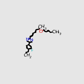 C=CCc1ccc(-c2cnc(C=CCCCC(C)OCCCCC)nc2)cc1F